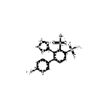 CS(=O)(=O)c1ccc(-c2ccc(N)nc2)c(-c2nn[nH]n2)c1S(N)(=O)=O